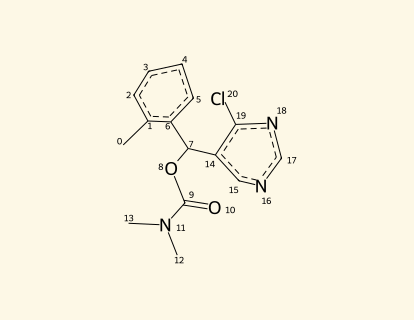 Cc1ccccc1C(OC(=O)N(C)C)c1cncnc1Cl